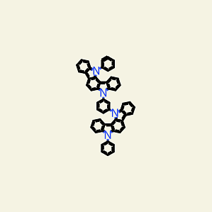 c1cccc(-n2c3ccccc3c3ccc4c(c5ccccc5n4-c4cccc(-n5c6ccccc6c6ccc7c(c8ccccc8n7-c7ccccc7)c65)c4)c32)c#1